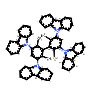 Cc1c(-n2c3ccccc3c3ccccc32)cc(-n2c3ccccc3c3ccccc32)c(C(F)(F)F)c1-c1c(C#N)c(-n2c3ccccc3c3ccccc32)cc(-n2c3ccccc3c3ccccc32)c1C#N